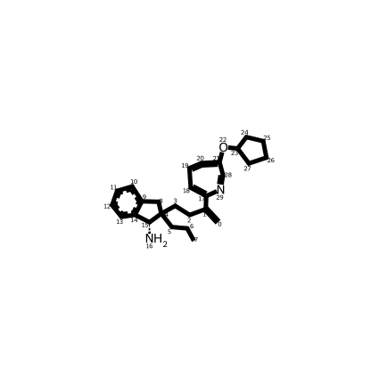 C=C(CCC1(CCC)Cc2ccccc2[C@H]1N)C1=CC=C=C(OC2CCCC2)C=N1